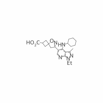 CCn1nc(C)c2c(NC3CCCCC3)c(C3=NOC4(C3)CC(C(=O)O)C4)cnc21